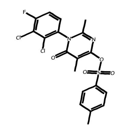 Cc1ccc(S(=O)(=O)Oc2nc(C)n(-c3ccc(F)c(Cl)c3Cl)c(=O)c2C)cc1